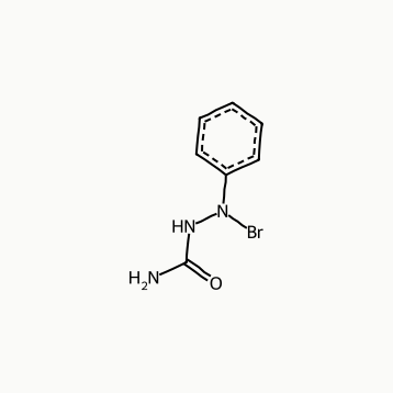 NC(=O)NN(Br)c1ccccc1